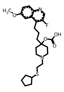 COc1ccc2ncc(F)c(CCCC3(OC(=O)O)CCN(CCSC4CCCC4)CC3)c2c1